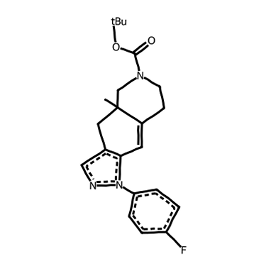 CC(C)(C)OC(=O)N1CCC2=Cc3c(cnn3-c3ccc(F)cc3)CC2(C)C1